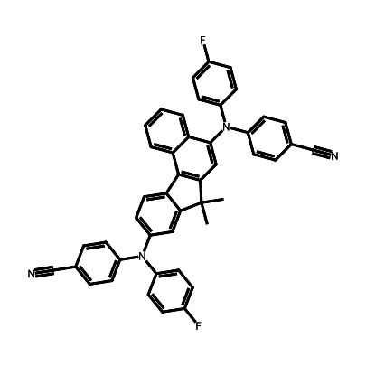 CC1(C)c2cc(N(c3ccc(F)cc3)c3ccc(C#N)cc3)ccc2-c2c1cc(N(c1ccc(F)cc1)c1ccc(C#N)cc1)c1ccccc21